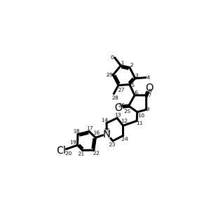 Cc1cc(C)c(C2C(=O)CC(CC3CCN(c4ccc(Cl)cc4)CC3)C2=O)c(C)c1